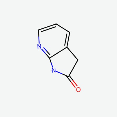 O=C1Cc2cccnc2[N]1